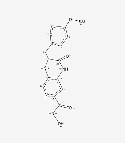 CC(C)(C)Oc1ccc(CC2Nc3ccc(C(=O)NO)cc3NC2=O)cc1